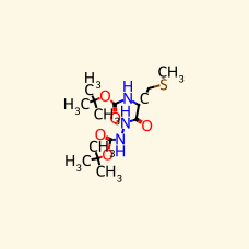 CSCC[C@H](NC(=O)OC(C)(C)C)C(=O)NNC(=O)OC(C)(C)C